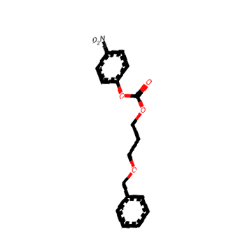 O=C(OCCCOCc1ccccc1)Oc1ccc([N+](=O)[O-])cc1